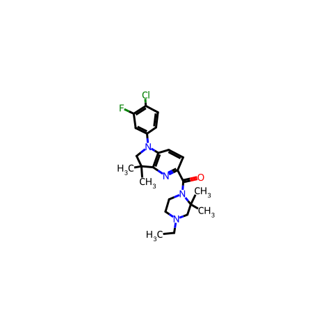 CCN1CCN(C(=O)c2ccc3c(n2)C(C)(C)CN3c2ccc(Cl)c(F)c2)C(C)(C)C1